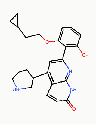 O=c1ccc2c(C3CCCNC3)cc(-c3c(O)cccc3OCCC3CC3)nc2[nH]1